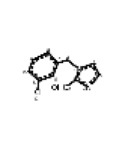 O=Cc1nc[c]n1Cc1cccc(Cl)c1